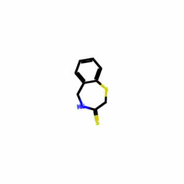 S=C1CSc2ccccc2CN1